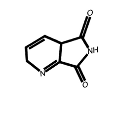 O=C1NC(=O)C2C=CCN=C12